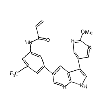 C=CC(=O)Nc1cc(-c2cnc3[nH]cc(-c4cnc(OC)nc4)c3c2)cc(C(F)(F)F)c1